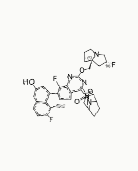 C#Cc1c(F)ccc2cc(O)cc(-c3ccc4c(N5CC6CCC(C5)N6S(C)(=O)=O)nc(OC[C@@]56CCCN5C[C@H](F)C6)nc4c3F)c12